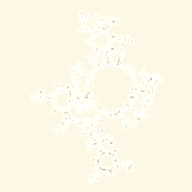 CC[C@H]1OC(=O)[C@H](C)[C@@H](O[C@H]2C[C@@](C)(OC)[C@@H](O)[C@H](C)O2)[C@H](C)[C@@H](O[C@@H]2O[C@H](C)C[C@H](N(C)CCNS(=O)(=O)c3cc(Cl)cc(Cl)c3)[C@H]2O)[C@](C)(O)C[C@@H](C)CN(C)[C@H](C)[C@@H](O)[C@]1(C)O